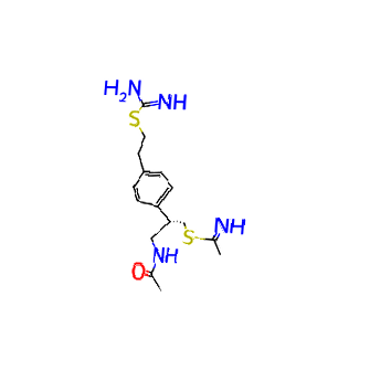 CC(=N)SC[C@H](CNC(C)=O)c1ccc(CCSC(=N)N)cc1